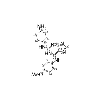 COc1ccc(Nc2[nH]c(N[C@H]3CC[C@H](N)CC3)nc3ncnc2-3)cc1